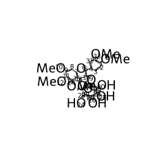 COc1ccc(-c2oc3cc(OC)c(OC)c(OC)c3c(=O)c2O[C@H]2O[C@H](CO)[C@@H](O)[C@H](O)[C@H]2O)cc1OC